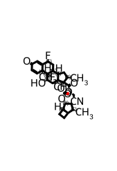 C[C@@H]1C[C@H]2[C@@H]3C[C@H](F)C4=CC(=O)C=C[C@]4(C)[C@@]3(F)[C@@H](O)C[C@]2(C)[C@@]1(OC(=O)O[C@@H]1C[C@H](C)C2CC[C@H]21)C(=O)OCC#N